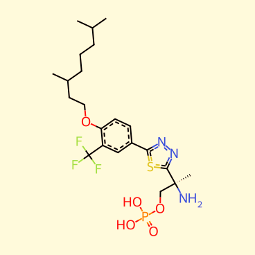 CC(C)CCCC(C)CCOc1ccc(-c2nnc([C@@](C)(N)COP(=O)(O)O)s2)cc1C(F)(F)F